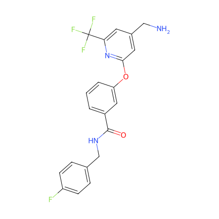 NCc1cc(Oc2cccc(C(=O)NCc3ccc(F)cc3)c2)nc(C(F)(F)F)c1